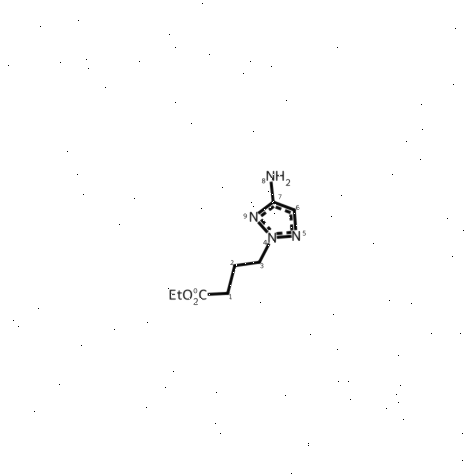 CCOC(=O)CCCn1ncc(N)n1